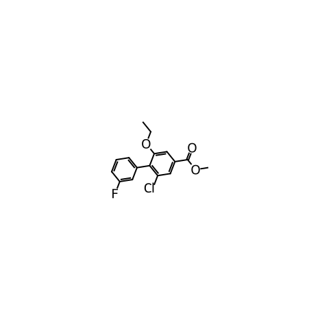 CCOc1cc(C(=O)OC)cc(Cl)c1-c1cccc(F)c1